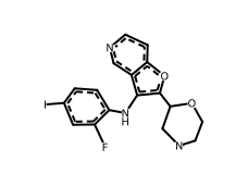 Fc1cc(I)ccc1Nc1c(C2C[N]CCO2)oc2ccncc12